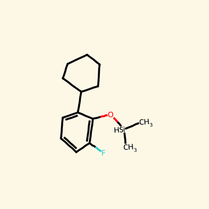 C[SiH](C)Oc1c(F)cccc1C1CCCCC1